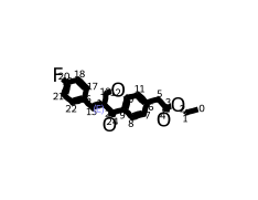 CCOC(=O)Cc1ccc2c(c1)OC/C(=C\c1ccc(F)cc1)C2=O